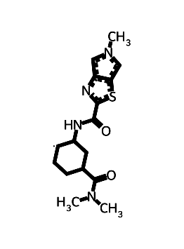 CN(C)C(=O)C1CC[CH]C(NC(=O)c2nc3cn(C)cc3s2)C1